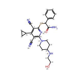 N#Cc1c(SC(C(N)=O)c2ccccc2)nc(N2CCC(NCCO)CC2)c(C#N)c1C1CC1